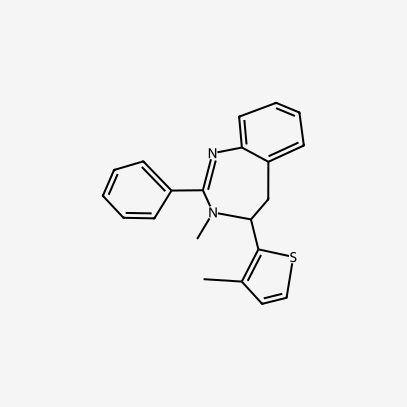 Cc1ccsc1C1Cc2ccccc2N=C(c2ccccc2)N1C